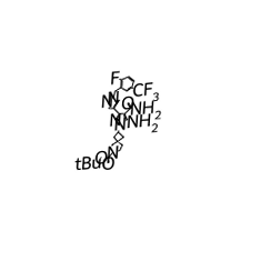 CC(C)(C)OC(=O)N1CC[C@]2(C1)C[C@H](n1nc(-c3cnn(Cc4cc(C(F)(F)F)ccc4F)c3)c(C(N)=O)c1N)C2